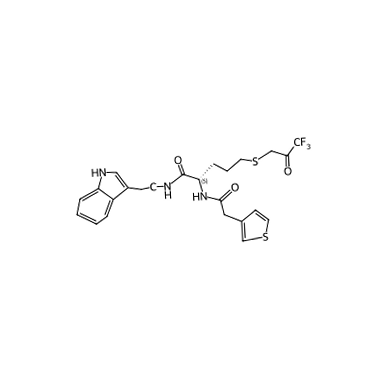 O=C(Cc1ccsc1)N[C@@H](CCCSCC(=O)C(F)(F)F)C(=O)NCCc1c[nH]c2ccccc12